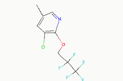 Cc1cnc(OCC(F)(F)C(F)(F)F)c(Cl)c1